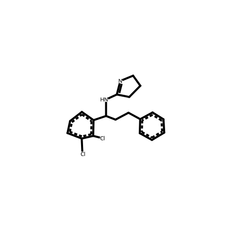 Clc1cccc(C(CCc2ccccc2)NC2=NCCC2)c1Cl